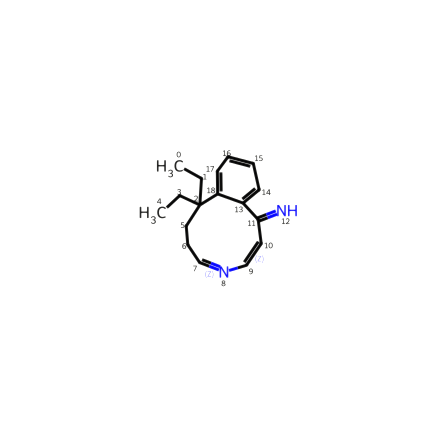 CCC1(CC)CC/C=N\C=C/C(=N)c2ccccc21